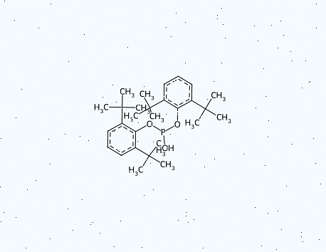 CC(C)(C)c1cccc(C(C)(C)C)c1OP(O)Oc1c(C(C)(C)C)cccc1C(C)(C)C